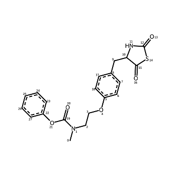 CN(CCOc1ccc(CC2NC(=O)SC2=O)cc1)C(=O)Oc1ccccc1